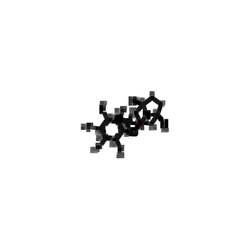 CP(C)(=O)CN1[C@@H]2CC[C@H]1C[C@H](Oc1c(F)c(F)c(F)c(F)c1F)C2